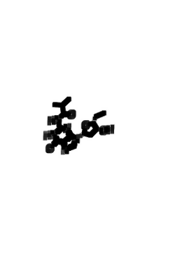 CC[C@H]1O[C@@H](n2cnc3c(=O)[nH]c(NC(=O)C(C)C)nc32)C[C@H]1O